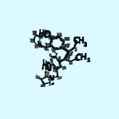 CCC(=C(CC)c1ccc(O)c(CN2CCCC2)c1)c1ccc(O)c(CN2CCCC2)c1